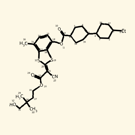 CCC1CCC(C2CCC(C(=O)Oc3ccc(C)c4c3S/C(=C(\C#N)C(=O)OCCC(C)(C)CO)S4)CC2)CC1